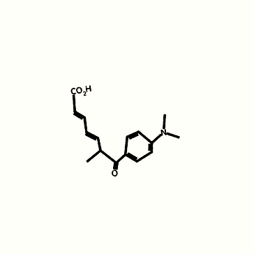 CC(C=CC=CC(=O)O)C(=O)c1ccc(N(C)C)cc1